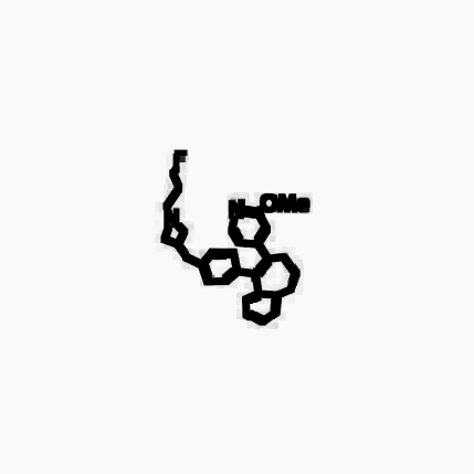 COc1cc(C2=C(c3ccc(CC4CN(CCCF)C4)cc3)c3ccccc3CCC2)ccn1